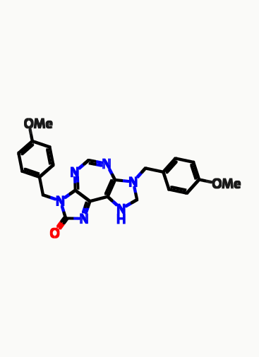 COc1ccc(CN2CNc3c4nc(=O)n(Cc5ccc(OC)cc5)c-4ncnc32)cc1